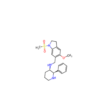 COc1cc2c(cc1CN[C@@H]1CCCN[C@@H]1c1ccccc1)N(S(C)(=O)=O)CC2